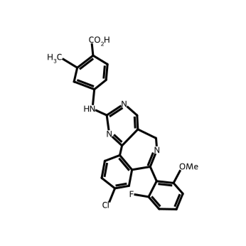 COc1cccc(F)c1C1=NCc2cnc(Nc3ccc(C(=O)O)c(C)c3)nc2-c2ccc(Cl)cc21